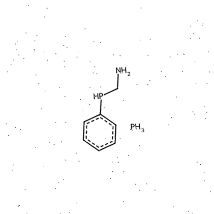 NCPc1ccccc1.P